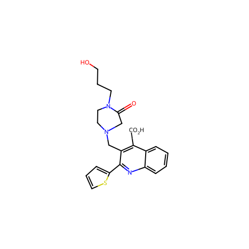 O=C(O)c1c(CN2CCN(CCCO)C(=O)C2)c(-c2cccs2)nc2ccccc12